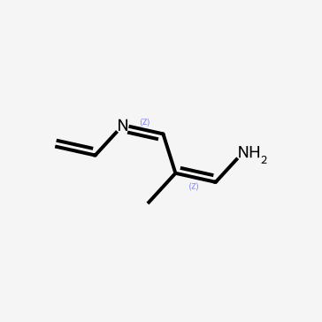 C=C/N=C\C(C)=C/N